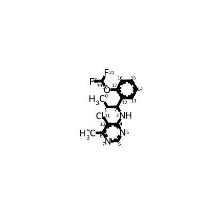 CCC(Nc1ncnc(C)c1Cl)c1ccccc1OC(F)F